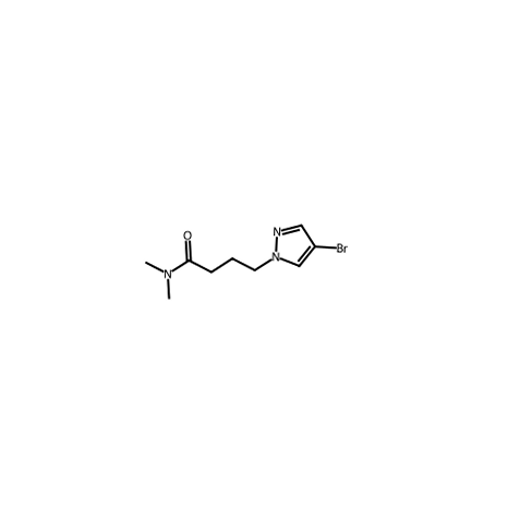 CN(C)C(=O)CCCn1cc(Br)cn1